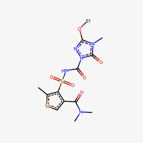 CCOc1nn(C(=O)NS(=O)(=O)c2c(C(=O)N(C)C)csc2C)c(=O)n1C